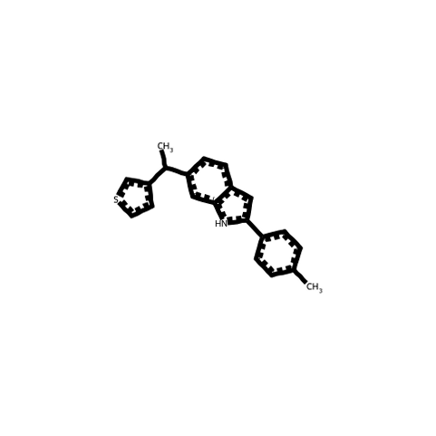 Cc1ccc(-c2cc3ccc(C(C)c4ccsc4)cc3[nH]2)cc1